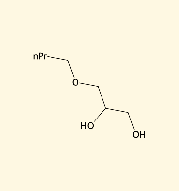 C[CH]CCOCC(O)CO